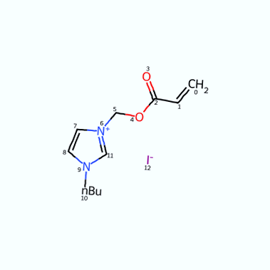 C=CC(=O)OC[n+]1ccn(CCCC)c1.[I-]